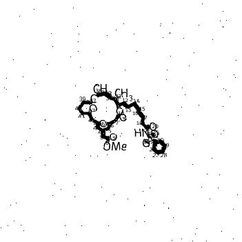 COC(=O)/C=C1\CC2CC(=O)OC(/C=C/C=C\C=C\CC(=O)NS(=O)(=O)c3ccccc3)C(C)/C=C/C(C)CC3CCCC(CC(C1)O2)O3